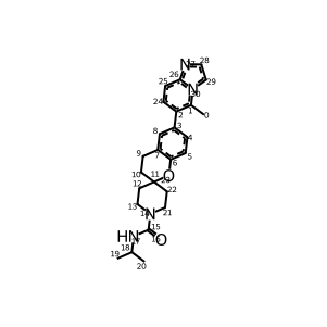 Cc1c(-c2ccc3c(c2)CCC2(CCN(C(=O)NC(C)C)CC2)O3)ccc2nccn12